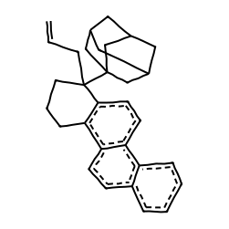 C=CCC1(C23CC4CC(CC(C4)C2)C3)CCCc2c1ccc1c2ccc2ccccc21